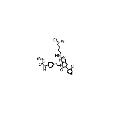 CCN(CC)CCCCNc1ncc2cc(-c3ccccc3Cl)c(=O)n(CCc3ccc(NC(=O)OC(C)(C)C)cc3)c2n1